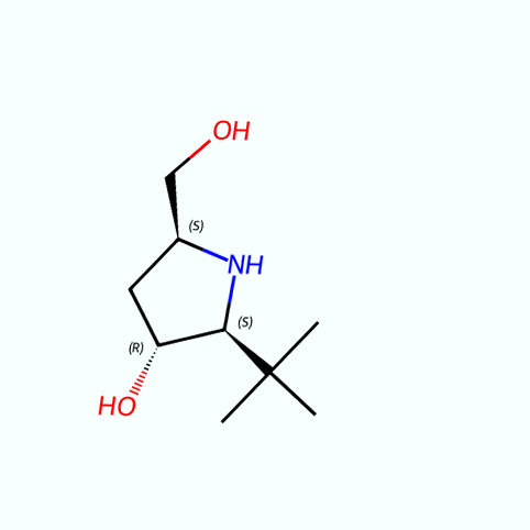 CC(C)(C)[C@@H]1N[C@H](CO)C[C@H]1O